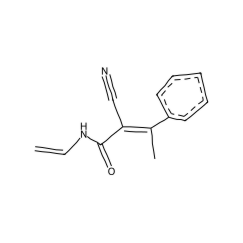 C=CNC(=O)/C(C#N)=C(\C)c1ccccc1